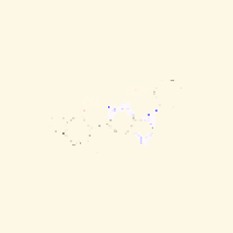 Cc1cc2c(c(O)c1-c1cc3ncn([C@@H]4CCCC[C@H]4O)c3nn1)CC2